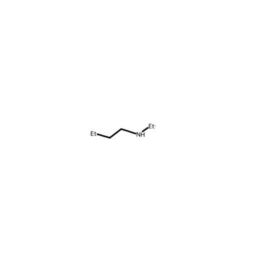 C[CH]NCCCC